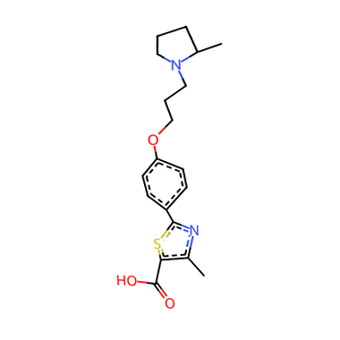 Cc1nc(-c2ccc(OCCCN3CCCC3C)cc2)sc1C(=O)O